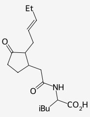 CC/C=C/CC1C(=O)CCC1CC(=O)NC(C(=O)O)C(C)CC